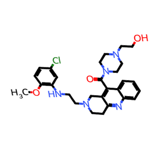 COc1ccc(Cl)cc1NCCN1CCc2nc3ccccc3c(C(=O)N3CCN(CCO)CC3)c2C1